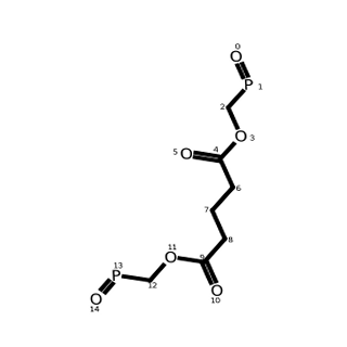 O=PCOC(=O)CCCC(=O)OCP=O